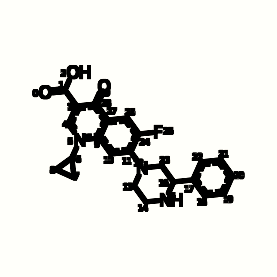 O=C(O)c1cn(C2CC2)c2cc(N3CCNC(c4ccccc4)C3)c(F)cc2c1=O